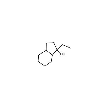 CCC1(O)CCC2CCCCC21